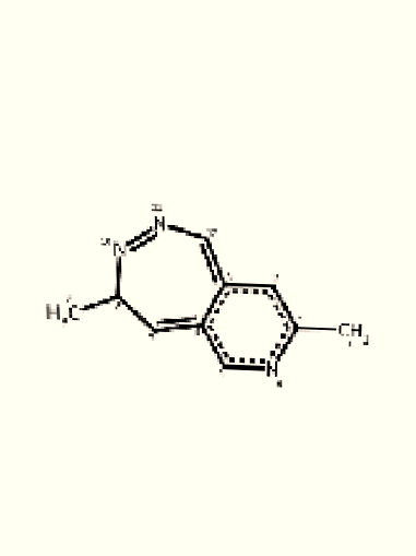 Cc1cc2c(cn1)=CC(C)N=NC=2